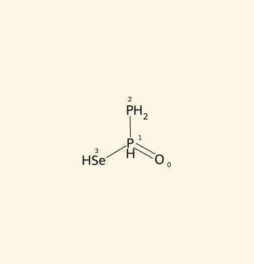 O=[PH](P)[SeH]